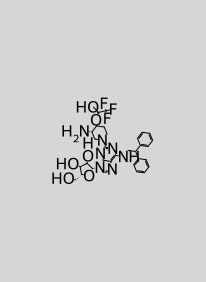 N[C@@H]1CCCN(c2nc(NCC(c3ccccc3)c3ccccc3)c3ncn([C@@H]4O[C@H](CO)[C@@H](O)[C@H]4O)c3n2)C1.O=C(O)C(F)(F)F